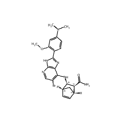 COc1cc(N(C)C)ccc1-c1nc2c(N[C@H]3[C@@H](C(N)=O)[C@@H]4C=C[C@H]3C4)c(Br)cnc2[nH]1